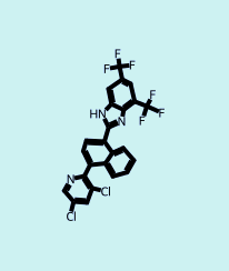 FC(F)(F)c1cc(C(F)(F)F)c2nc(-c3ccc(-c4ncc(Cl)cc4Cl)c4ccccc34)[nH]c2c1